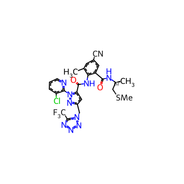 CSC[C@H](C)NC(=O)c1cc(C#N)cc(C)c1NC(=O)c1cc(Cn2nnnc2C(F)(F)F)nn1-c1ncccc1Cl